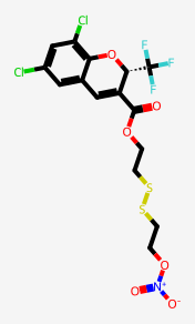 O=C(OCCSSCCO[N+](=O)[O-])C1=Cc2cc(Cl)cc(Cl)c2O[C@@H]1C(F)(F)F